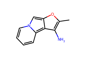 Cc1oc2cn3ccccc3c2c1N